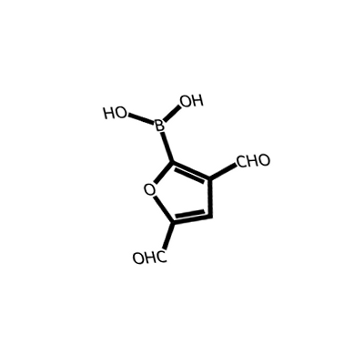 O=Cc1cc(C=O)c(B(O)O)o1